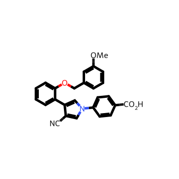 COc1cccc(COc2ccccc2-c2cn(-c3ccc(C(=O)O)cc3)cc2C#N)c1